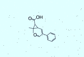 CC1(C)C(C=C(C=O)c2ccccc2)C1C(=O)O